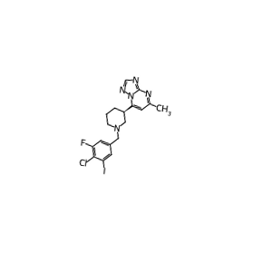 Cc1cc([C@@H]2CCCN(Cc3cc(F)c(Cl)c(I)c3)C2)n2ncnc2n1